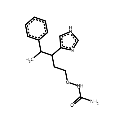 CC(c1ccccc1)C(CCONC(N)=O)c1c[nH]cn1